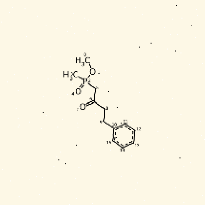 COP(C)(=O)CC(=O)CCc1ccccc1